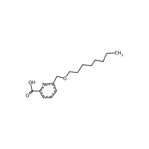 CCCCCCCCOCc1cccc(C(=O)O)n1